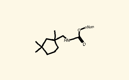 CCCCCCCCCOC(=O)NCC1(C)C[CH]CC(C)(C)C1